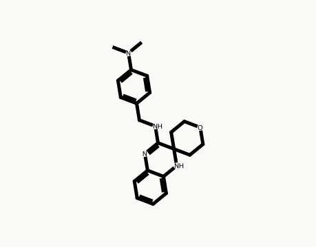 CN(C)c1ccc(CNC2=Nc3ccccc3NC23CCOCC3)cc1